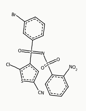 N#Cc1cc(S(=O)(=NS(=O)(=O)c2ccccc2[N+](=O)[O-])c2cccc(Br)c2)c(Cl)s1